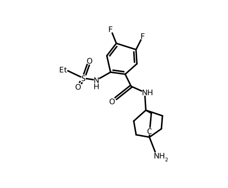 CCS(=O)(=O)Nc1cc(F)c(F)cc1C(=O)NC12CCC(N)(CC1)CC2